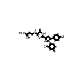 CC(NC(=O)C1=NN(c2ccc(Cl)cc2Cl)C(c2ccc(Cl)cc2)C1)C(=O)NCCC(O)C(=O)O